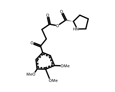 COc1cc(C(=O)CCC(=O)OC(=O)[C@@H]2CCCN2)cc(OC)c1OC